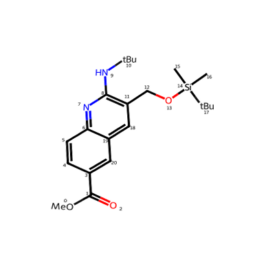 COC(=O)c1ccc2nc(NC(C)(C)C)c(CO[Si](C)(C)C(C)(C)C)cc2c1